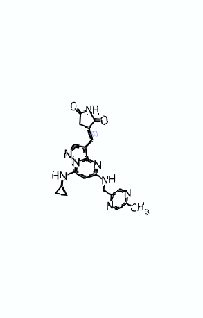 Cc1cnc(CNc2cc(NC3CC3)n3ncc(/C=C4\CC(=O)NC4=O)c3n2)cn1